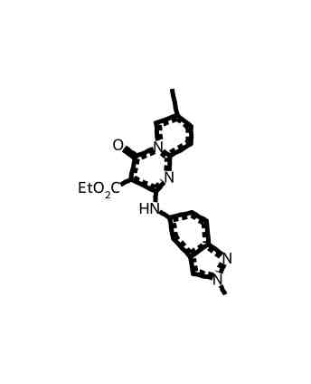 CCOC(=O)c1c(Nc2ccc3nn(C)cc3c2)nc2ccc(C)cn2c1=O